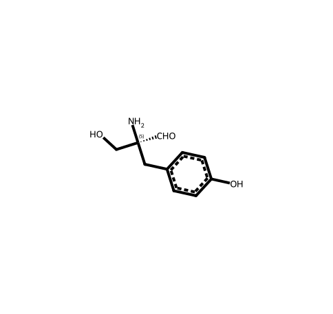 N[C@](C=O)(CO)Cc1ccc(O)cc1